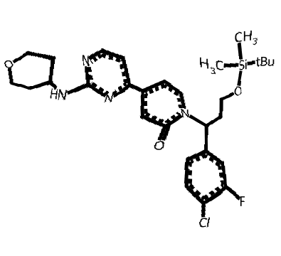 CC(C)(C)[Si](C)(C)OCCC(c1ccc(Cl)c(F)c1)n1ccc(-c2ccnc(NC3CCOCC3)n2)cc1=O